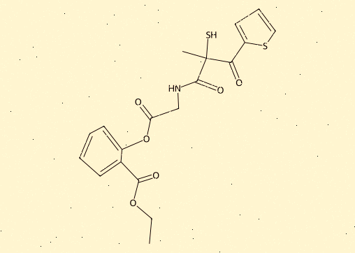 CCOC(=O)c1ccccc1OC(=O)CNC(=O)C(C)(S)C(=O)c1cccs1